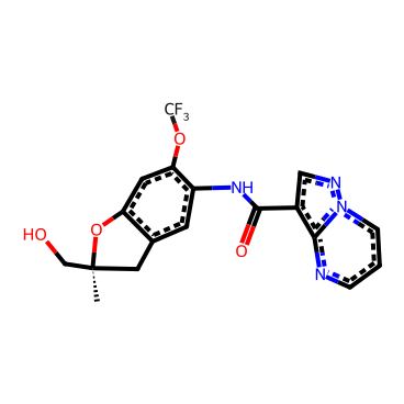 C[C@@]1(CO)Cc2cc(NC(=O)c3cnn4cccnc34)c(OC(F)(F)F)cc2O1